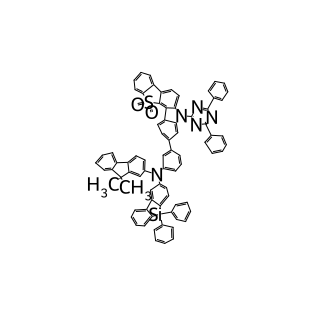 CC1(C)c2ccccc2-c2ccc(N(c3cccc(-c4ccc5c6c7c(ccc6n(-c6nc(-c8ccccc8)nc(-c8ccccc8)n6)c5c4)-c4ccccc4S7(=O)=O)c3)c3ccc4c(c3)-c3ccccc3[Si]4(c3ccccc3)c3ccccc3)cc21